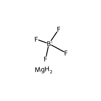 F[B-](F)(F)F.[MgH2]